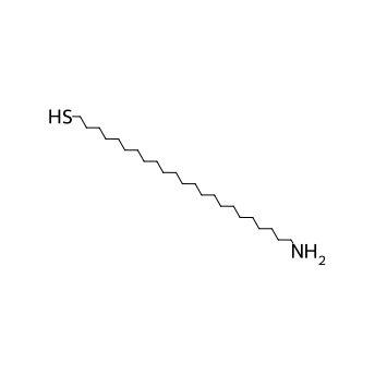 NCCCCCCCCCCCCCCCCCCCCCCCS